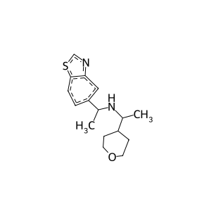 CC(NC(C)C1CCOCC1)c1ccc2scnc2c1